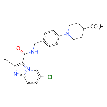 CCc1nc2ccc(Cl)cn2c1C(=O)NCc1ccc(N2CCC(C(=O)O)CC2)cc1